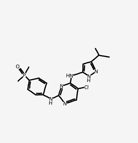 CC(C)c1cc(Nc2nc(Nc3ccc(P(C)(C)=O)cc3)ncc2Cl)[nH]n1